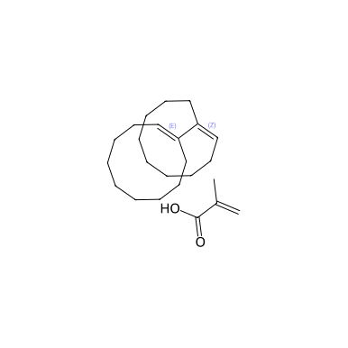 C1=C(\C2=C\CCCCCCCC2)CCCCCCCC/1.C=C(C)C(=O)O